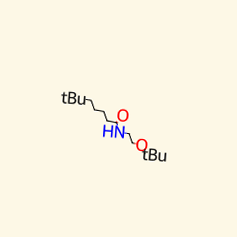 CC(C)(C)CCCCC(=O)NCCOC(C)(C)C